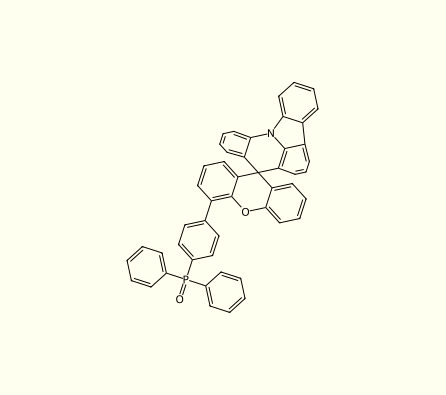 O=P(c1ccccc1)(c1ccccc1)c1ccc(-c2cccc3c2Oc2ccccc2C32c3ccccc3-n3c4ccccc4c4cccc2c43)cc1